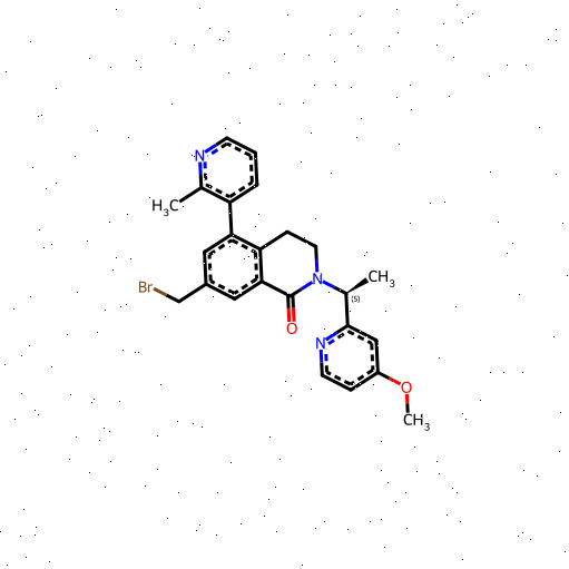 COc1ccnc([C@H](C)N2CCc3c(cc(CBr)cc3-c3cccnc3C)C2=O)c1